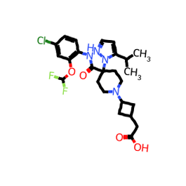 CC(C)c1ccnn1C1(C(=O)Nc2ccc(Cl)cc2OC(F)F)CCN(C2CC(CC(=O)O)C2)CC1